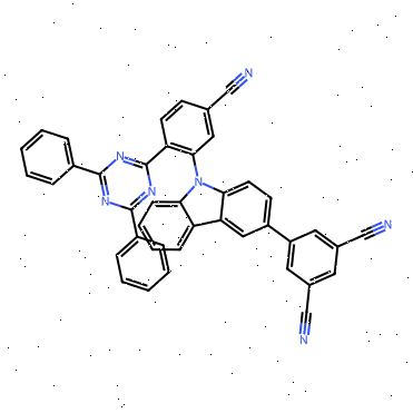 N#Cc1cc(C#N)cc(-c2ccc3c(c2)c2ccccc2n3-c2cc(C#N)ccc2-c2nc(-c3ccccc3)nc(-c3ccccc3)n2)c1